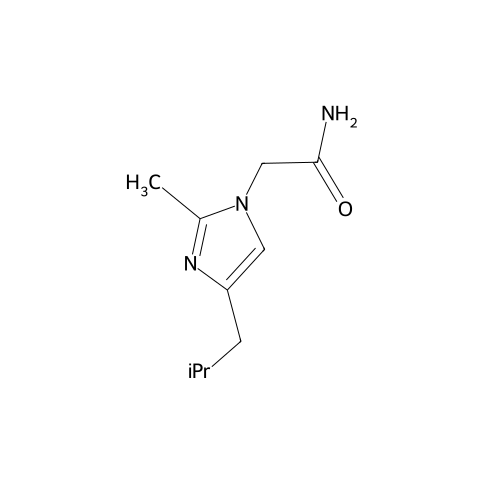 Cc1nc(CC(C)C)cn1CC(N)=O